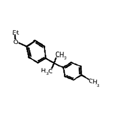 CCOc1ccc(C(C)(C)c2ccc(C)cc2)cc1